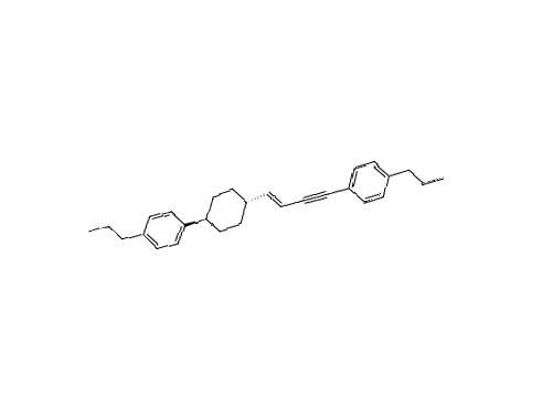 CCCc1ccc(C#CC=C[C@H]2CC[C@H](c3ccc(CCC)cc3)CC2)cc1